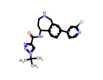 CC(C)(C)n1cc(C(=O)NC2CCNCc3cc(-c4ccnc(Cl)c4)ccc32)nn1